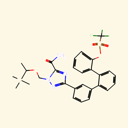 CC(OCn1nc(-c2cccc(-c3ccccc3-c3ccccc3OS(=O)(=O)C(F)(F)F)c2)nc1C(N)=O)[Si](C)(C)C